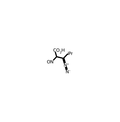 CC(C)C(=[N+]=[N-])C(N=O)C(=O)O